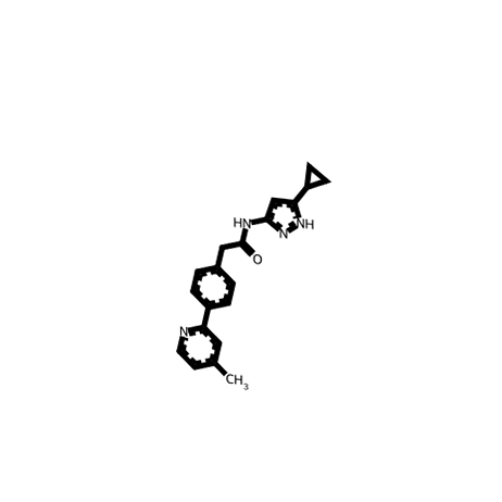 Cc1ccnc(-c2ccc(CC(=O)Nc3cc(C4CC4)[nH]n3)cc2)c1